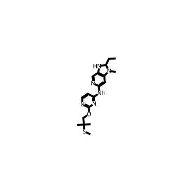 CCC1Nc2cnc(Nc3ccnc(OCC(C)(C)SC)n3)cc2N1C